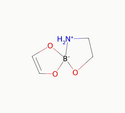 C1=CO[B-]2([NH2+]CCO2)O1